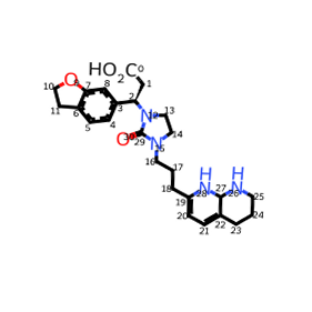 O=C(O)C[C@H](c1ccc2c(c1)OCC2)N1CCN(CCCC2=CC=C3CCCNC3N2)C1=O